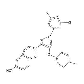 Cc1cc(Cl)cc(-c2cc(OC3=CCC(C)C=C3)n(-c3ccc4cc(O)ccc4c3)n2)c1